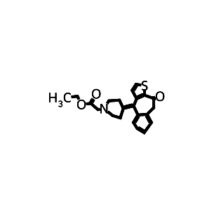 CCOC(=O)CN1CCC(=C2c3ccccc3CC(=O)c3sccc32)CC1